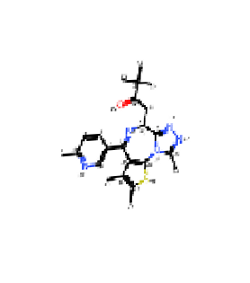 Cc1ccc(C2=N[C@@H](CC(=O)C(C)(C)C)c3nnc(C)n3-c3sc(C)c(C)c32)cn1